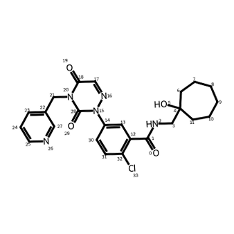 O=C(NCC1(O)CCCCCC1)c1cc(-n2ncc(=O)n(Cc3cccnc3)c2=O)ccc1Cl